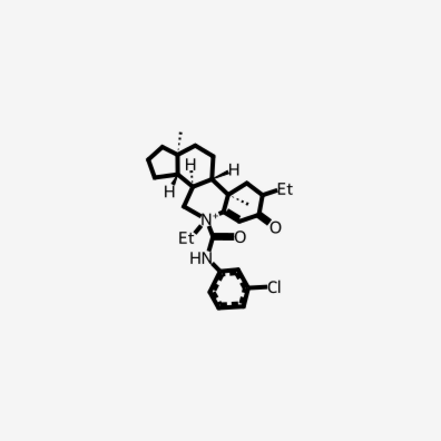 CCC1C[C@@]2(C)C(=CC1=O)[N+](CC)(C(=O)Nc1cccc(Cl)c1)C[C@H]1[C@@H]3CCC[C@@]3(C)CC[C@@H]12